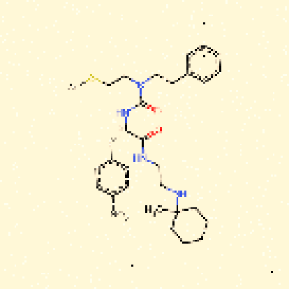 CC(=O)SCCN(CCc1ccccc1)C(=O)N[C@@H](Cc1ccc([N+](=O)[O-])cc1)C(=O)NCCNC1(C)CCCCC1